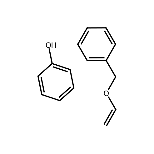 C=COCc1ccccc1.Oc1ccccc1